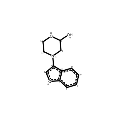 OC1CN(c2coc3ccccc23)CCO1